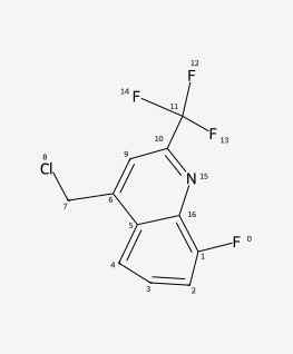 Fc1cccc2c(CCl)cc(C(F)(F)F)nc12